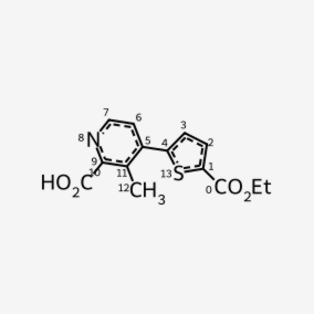 CCOC(=O)c1ccc(-c2ccnc(C(=O)O)c2C)s1